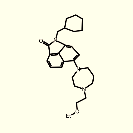 CCOCCN1CCCN(c2ccc3c4c(cccc24)C(=O)N3CC2CCCCC2)CC1